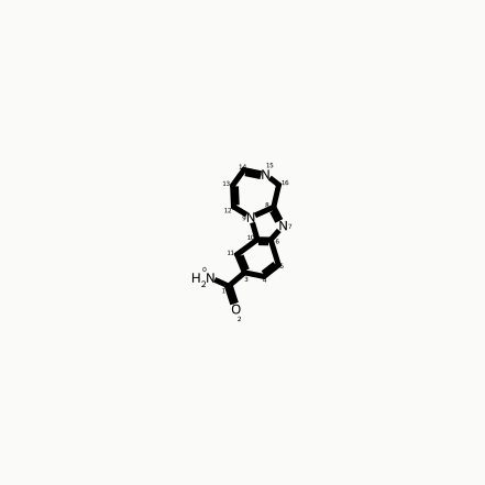 NC(=O)c1ccc2nc3n(c2c1)C=CC=NC3